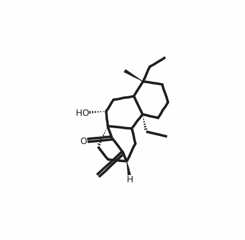 C=C1C(=O)[C@]23CC[C@H]1CC2[C@]1(CC)CCC[C@@](C)(CC)C1C[C@H]3O